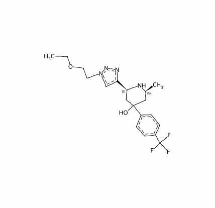 CCOCCn1cc([C@@H]2CC(O)(c3ccc(C(F)(F)F)cc3)C[C@H](C)N2)nn1